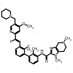 COc1cc(/C(F)=C/c2cccc(-c3cccc(NC(=O)c4nc5c(n4C)CCN(C)C5)c3C)c2C)ncc1CN1CCCCC1